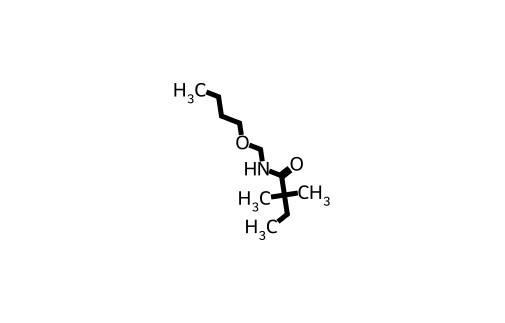 CCCCOCNC(=O)C(C)(C)CC